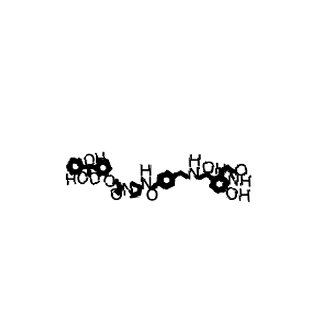 O=C(N[C@H]1CCN(C(=O)COc2cccc([C@](O)(C(=O)O)c3ccccc3)c2)C1)c1ccc(CCNC[C@H](O)c2ccc(O)c3[nH]c(=O)ccc23)cc1